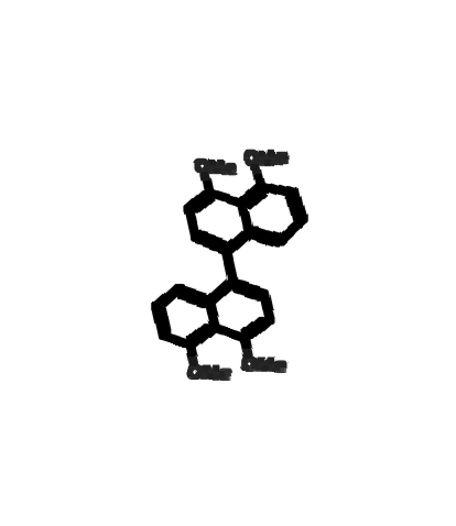 COc1cccc2c(-c3ccc(OC)c4c(OC)cccc34)ccc(OC)c12